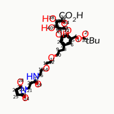 CC(C)(C)C(=O)OCc1cc(CCCOCCOCCNC(=O)CCN2C(=O)C=CC2=O)ccc1O[C@@H]1O[C@H](C(=O)O)[C@@H](O)[C@H](O)[C@H]1O